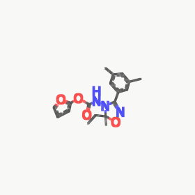 CCC1(C)ON=C(c2cc(C)cc(C)c2)N1NC(=O)Oc1ccco1